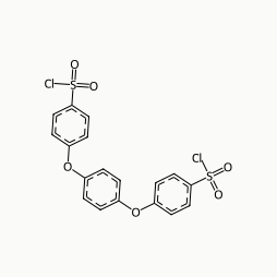 O=S(=O)(Cl)c1ccc(Oc2ccc(Oc3ccc(S(=O)(=O)Cl)cc3)cc2)cc1